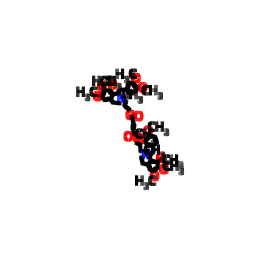 COc1ccc(CC2c3c(cc(OC)c(OC)c3OC)CC[N+]2(C)CCCOC(=O)C#CC(=O)OCCC[N+]2(C)CCc3cc(OC)c(OC)c(OC)c3C2Cc2ccc(OC)c(OC)c2)cc1OC